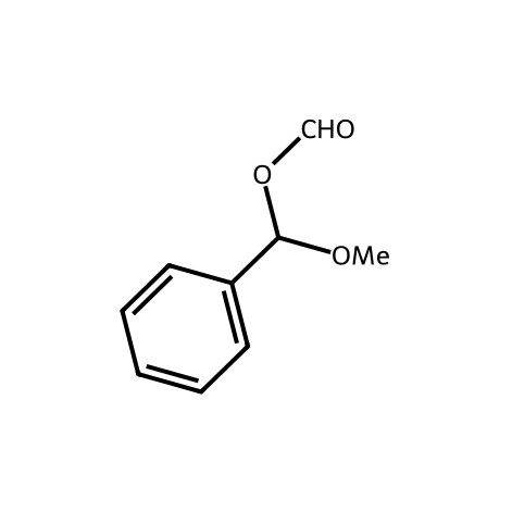 COC(OC=O)c1ccccc1